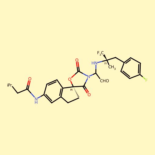 CC(C)CC(=O)Nc1ccc2c(c1)CC[C@@]21OC(=O)N(C(C=O)N[C@@](C)(Cc2ccc(F)cc2)C(F)(F)F)C1=O